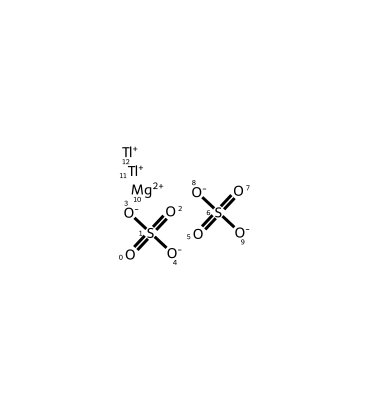 O=S(=O)([O-])[O-].O=S(=O)([O-])[O-].[Mg+2].[Tl+].[Tl+]